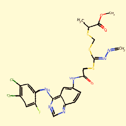 C=N/N=C(\SCSC(C)C(=O)OC)SCC(=O)Nc1ccc2ncnc(Nc3cc(Cl)c(Cl)cc3F)c2c1